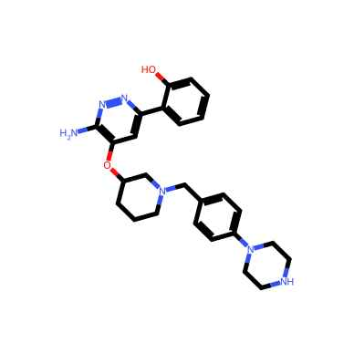 Nc1nnc(-c2ccccc2O)cc1OC1CCCN(Cc2ccc(N3CCNCC3)cc2)C1